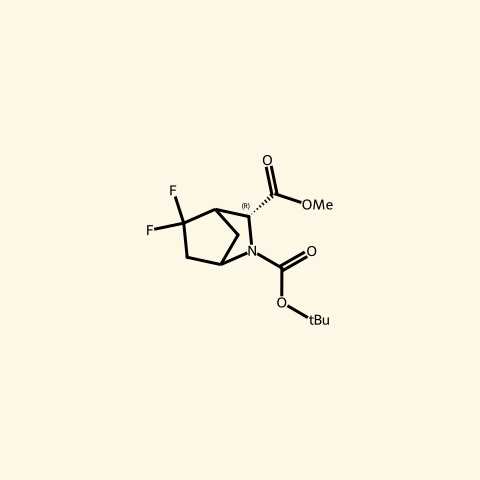 COC(=O)[C@H]1C2CC(CC2(F)F)N1C(=O)OC(C)(C)C